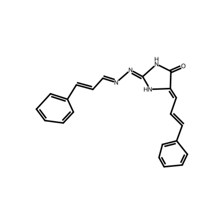 O=C1NC(=NN=CC=Cc2ccccc2)NC1=CC=Cc1ccccc1